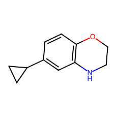 c1cc2c(cc1C1CC1)NCCO2